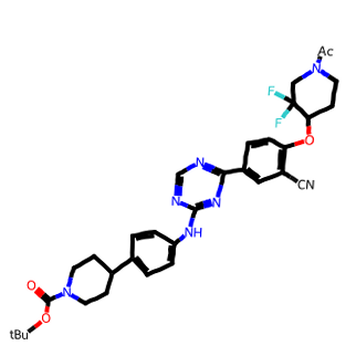 CC(=O)N1CCC(Oc2ccc(-c3ncnc(Nc4ccc(C5CCN(C(=O)OC(C)(C)C)CC5)cc4)n3)cc2C#N)C(F)(F)C1